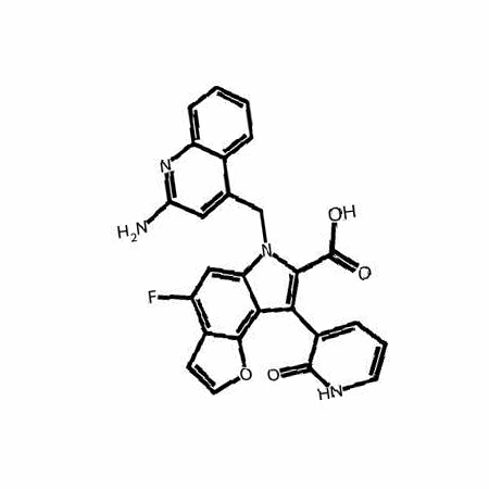 Nc1cc(Cn2c(C(=O)O)c(-c3ccc[nH]c3=O)c3c4occc4c(F)cc32)c2ccccc2n1